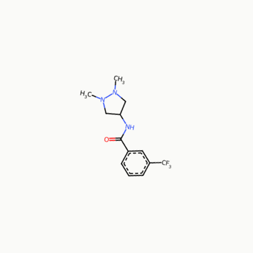 CN1CC(NC(=O)c2cccc(C(F)(F)F)c2)CN1C